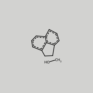 CO.c1cc2c3c(cccc3c1)CC2